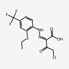 CCSc1cc(C(F)(F)F)ccc1NN=C(C(=O)O)C(=O)CCl